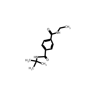 CCNC(=O)c1ccc(C(=O)NC(C)(C)C)cc1